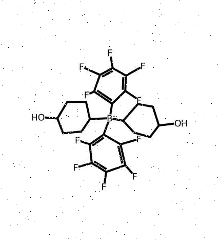 OC1CCC([B-](c2c(F)c(F)c(F)c(F)c2F)(c2c(F)c(F)c(F)c(F)c2F)C2CCC(O)CC2)CC1